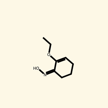 CCOC1=CCCCC1=NO